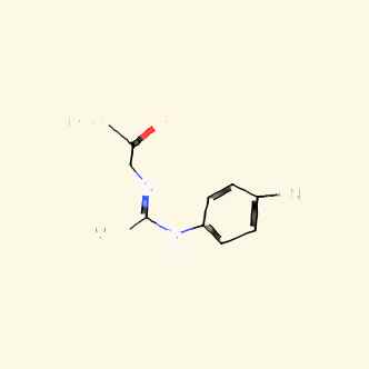 CCCCCCCCC(=O)CN=C(Nc1ccc(C#N)cc1)SC